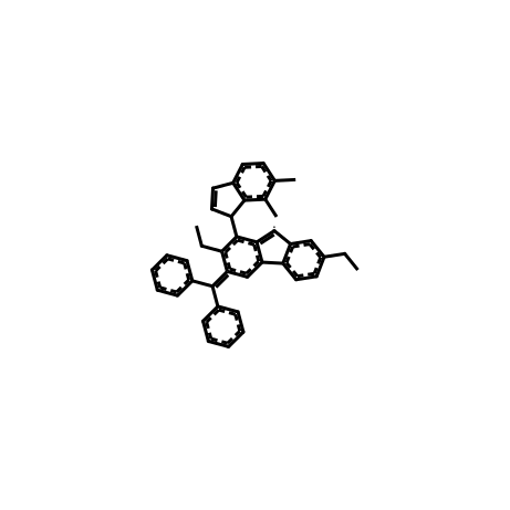 CCc1ccc2c(c1)[C]=c1c-2cc(=C(c2ccccc2)c2ccccc2)c(CC)c1C1C=Cc2ccc(C)c(C)c21